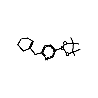 CC1(C)OB(c2ccc(CC3=CCCCC3)nc2)OC1(C)C